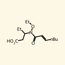 CCCC/C=C/C(=O)N(OCC)C(CC)CC(=O)O